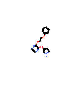 c1ccc(OCCOc2nccnc2OC2CCNC2)cc1